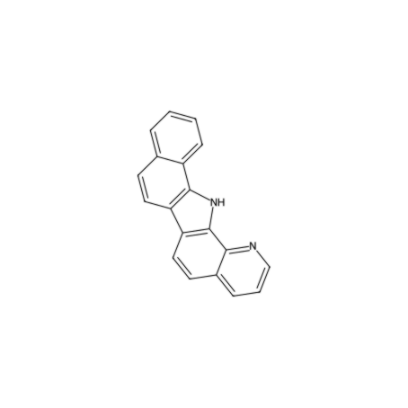 c1ccc2c(c1)ccc1c3ccc4cccnc4c3[nH]c21